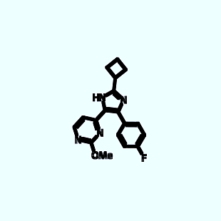 COc1nccc(-c2[nH]c(C3CCC3)nc2-c2ccc(F)cc2)n1